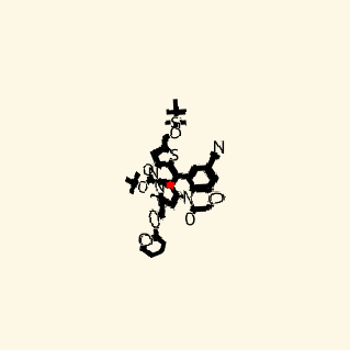 CC(C)(C)OC(=O)N1C[C@@H](N2C(=O)COc3cc(C#N)cc(-c4ccnc5cc(CO[Si](C)(C)C(C)(C)C)sc45)c32)C[C@]1(C)COC1CCCCO1